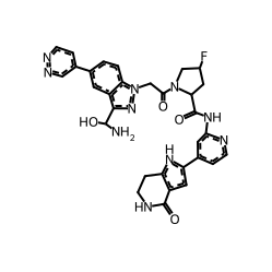 NC(O)c1nn(CC(=O)N2CC(F)CC2C(=O)Nc2cc(-c3cc4c([nH]3)CCNC4=O)ccn2)c2ccc(-c3ccnnc3)cc12